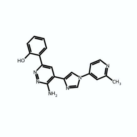 Cc1cc(-n2cnc(-c3cc(-c4ccccc4O)nnc3N)c2)ccn1